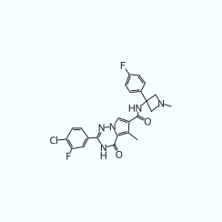 Cc1c(C(=O)NC2(c3ccc(F)cc3)CN(C)C2)cn2nc(-c3ccc(Cl)c(F)c3)[nH]c(=O)c12